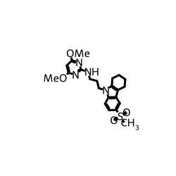 COc1cc(OC)nc(NCCCn2c3c(c4cc(S(C)(=O)=O)ccc42)CCCC3)n1